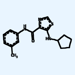 Cc1cccc(NC(=O)c2ncsc2NC2CCCC2)c1